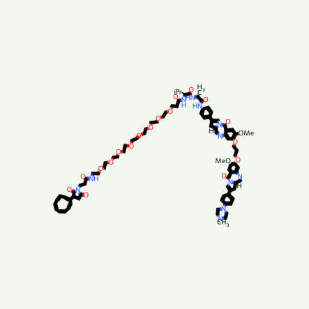 COc1cc2c(cc1OCCCOc1cc3c(cc1OC)C(=O)N1C=C(c4ccc(N5CCN(C)CC5)cc4)C[C@H]1C=N3)N=C[C@@H]1CC(c3ccc(NC(=O)[C@H](C)NC(=O)[C@@H](NC(=O)CCOCCOCCOCCOCCOCCOCCOCCOCCNC(=O)CCN4C(=O)CC(c5ccccccccc5)C4=O)C(C)C)cc3)=CN1C2=O